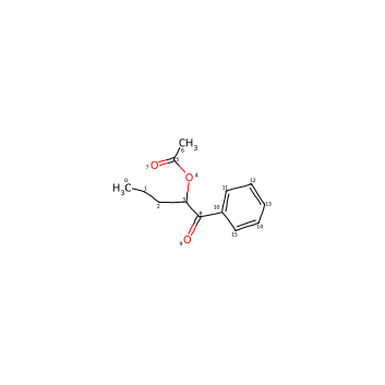 CCCC(OC(C)=O)C(=O)c1ccccc1